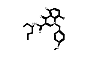 CCCC(CC)NC(=O)c1cn(Cc2ccc(OC)cc2)c2c(F)ccc(F)c2c1=O